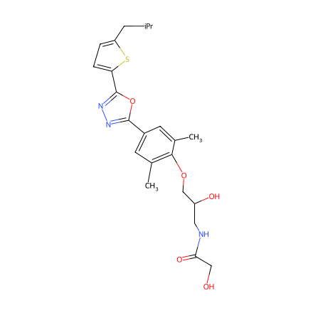 Cc1cc(-c2nnc(-c3ccc(CC(C)C)s3)o2)cc(C)c1OCC(O)CNC(=O)CO